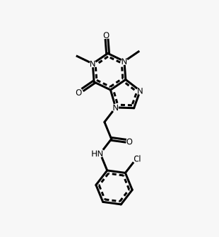 Cn1c(=O)c2c(ncn2CC(=O)Nc2ccccc2Cl)n(C)c1=O